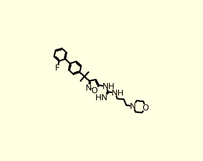 CC(C)(c1ccc(-c2ccccc2F)cc1)c1cc(NC(=N)NCCCN2CCOCC2)on1